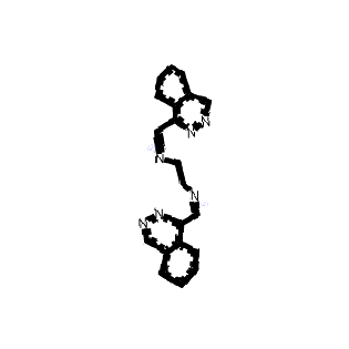 C(=N/CC/N=C\c1nncc2ccccc12)/c1nncc2ccccc12